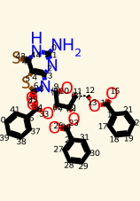 Nc1nc2c(sc(=O)n2[C@@H]2O[C@H](COC(=O)c3ccccc3)[C@@H](OC(=O)c3ccccc3)[C@H]2OC(=O)c2ccccc2)c(=S)[nH]1